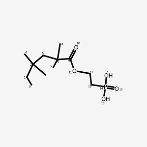 CCC(C)(C)CC(C)(C)C(=O)OCCP(=O)(O)O